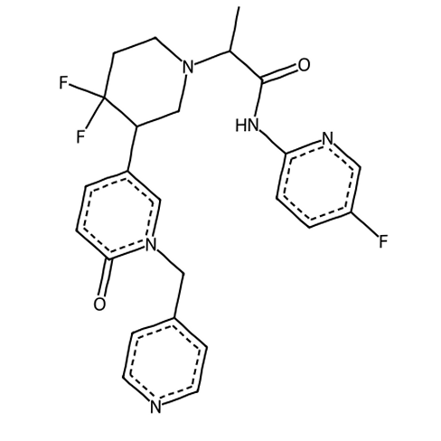 CC(C(=O)Nc1ccc(F)cn1)N1CCC(F)(F)C(c2ccc(=O)n(Cc3ccncc3)c2)C1